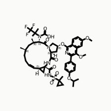 COc1ccc2c(O[C@@H]3C[C@H]4C(=O)N[C@]5(C(=O)NS(=O)(=O)C6(C)CC6)C[C@H]5C=CCC[C@@H](C)C[C@@H](C)[C@H](N(C(=O)O)C(C)(C)C(F)(F)F)C(=O)N4C3)nc(-c3ccc(OC(C)C)cc3)c(OC)c2c1